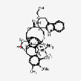 COc1c(C)cc2c(c1O)[C@H](N(C)C)[C@@H]1[C@@H]3SC[C@]4(N[C@@H](CO)Cc5c4[nH]c4ccccc54)C(=O)OC[C@@H](c4c5c(c(C)c(OC(C)=O)c43)OCO5)N1[C@@H](O)C2